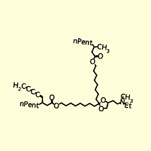 C=C=C=C=CC(CCCCC)CC(=O)OCCCCCCCCC1(CCCCCCCCOC(=O)CC(C)CCCCC)OCC(CCN(C)CC)O1